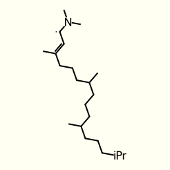 CC(=C[CH]N(C)C)CCCC(C)CCCC(C)CCCC(C)C